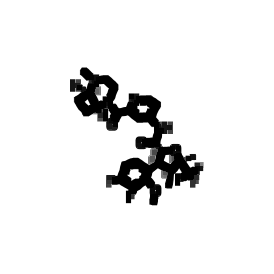 COc1c([C@H]2[C@H](C(=O)Nc3ccnc(C(=O)N4CCN(C)[C@@H]5CC[C@@H]54)c3)O[C@@](C)(C(F)(F)F)[C@H]2C)ccc(F)c1F